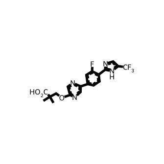 CC(C)(COc1cnc(-c2ccc(-c3ncc(C(F)(F)F)[nH]3)c(F)c2)cn1)C(=O)O